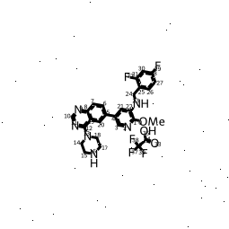 COc1ncc(-c2ccc3ncnc(N4CCNCC4)c3c2)cc1NCc1ccc(F)cc1F.O=C(O)C(F)(F)F